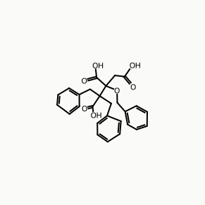 O=C(O)CC(OCc1ccccc1)(C(=O)O)C(Cc1ccccc1)(Cc1ccccc1)C(=O)O